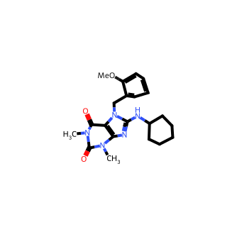 COc1ccccc1Cn1c(NC2CCCCC2)nc2c1c(=O)n(C)c(=O)n2C